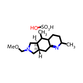 COCN1C[C@H]2CC3=NC(C)CCC3C(C)[C@@H]2C1.O=S(=O)(O)O